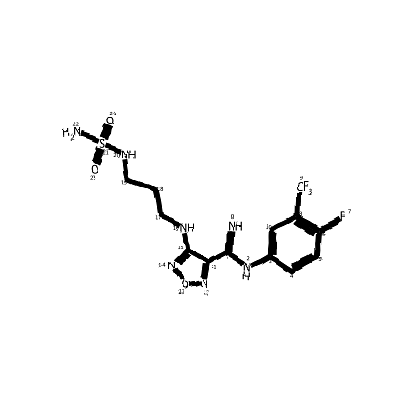 N=C(Nc1ccc(F)c(C(F)(F)F)c1)c1nonc1NCCCNS(N)(=O)=O